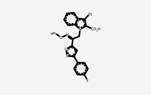 CCCON=C(Cn1c(C(=O)O)c(CC)c2ccccc21)c1cc(-c2ccc(F)cc2)no1